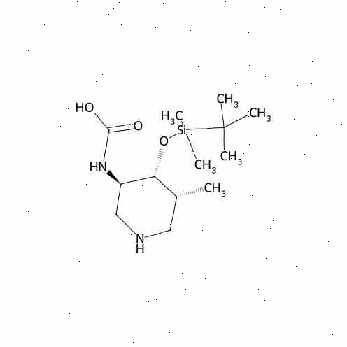 C[C@@H]1CNC[C@@H](NC(=O)O)[C@@H]1O[Si](C)(C)C(C)(C)C